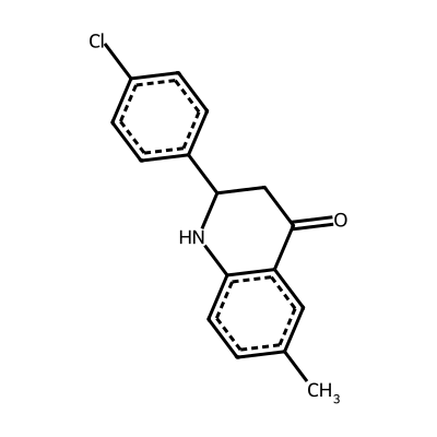 Cc1ccc2c(c1)C(=O)CC(c1ccc(Cl)cc1)N2